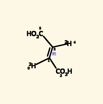 [2H]/C(C(=O)O)=C(/[2H])C(=O)O